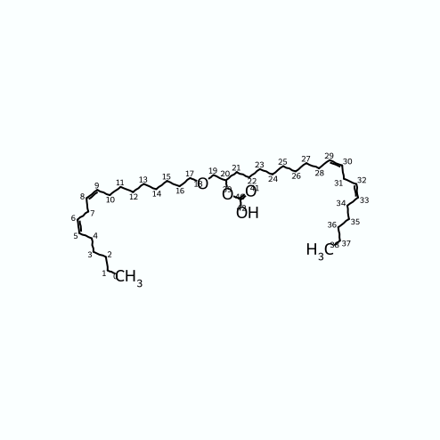 CCCCC/C=C\C/C=C\CCCCCCCCOCC(CCCCCCCC/C=C\C/C=C\CCCCC)OC(=O)O